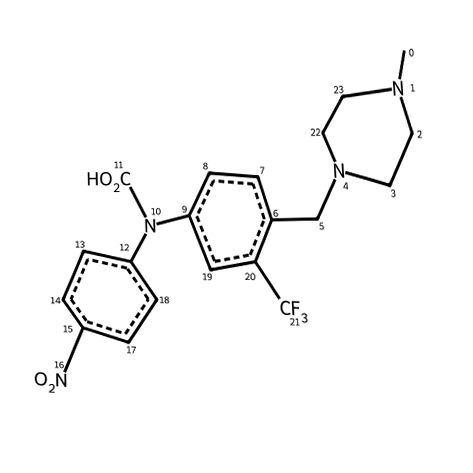 CN1CCN(Cc2ccc(N(C(=O)O)c3ccc([N+](=O)[O-])cc3)cc2C(F)(F)F)CC1